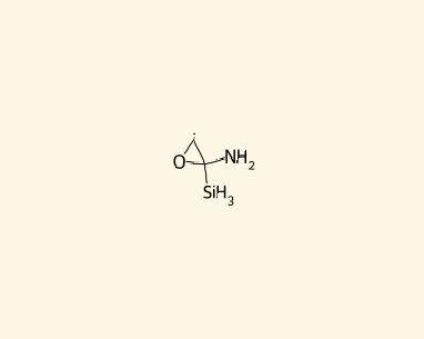 NC1([SiH3])[CH]O1